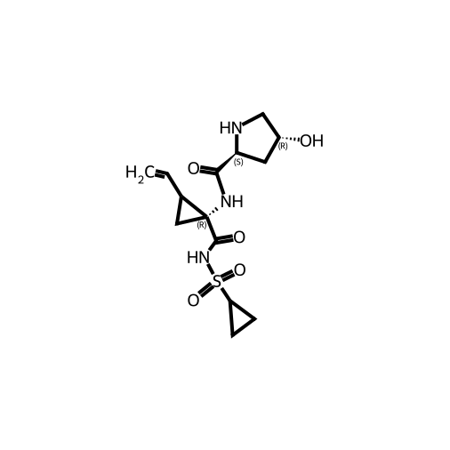 C=CC1C[C@]1(NC(=O)[C@@H]1C[C@@H](O)CN1)C(=O)NS(=O)(=O)C1CC1